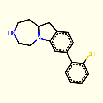 Sc1ccccc1-c1ccc2c(c1)N1CCNCCC1C2